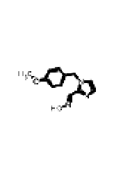 COc1ccc(Cn2ccnc2C=NO)cc1